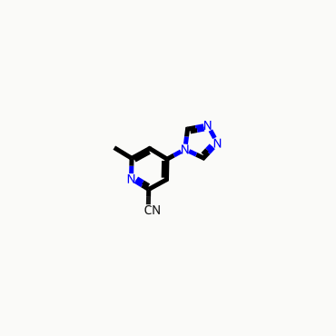 Cc1cc(-n2cnnc2)cc(C#N)n1